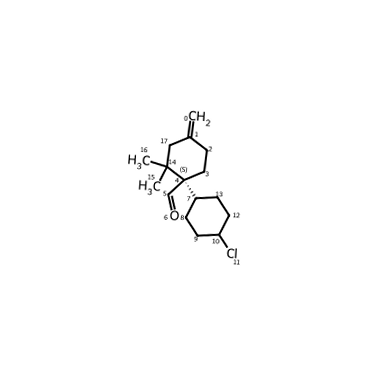 C=C1CC[C@](C=O)(C2CCC(Cl)CC2)C(C)(C)C1